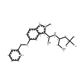 Cn1nc2ccc(OCc3ccccn3)cc2c1C(O)NC(CO)CC(C)(C)F